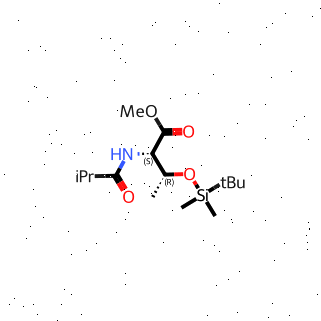 COC(=O)[C@@H](NC(=O)C(C)C)[C@@H](C)O[Si](C)(C)C(C)(C)C